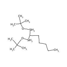 CCCCCC([SiH2]OC(C)(C)C)[SiH2]OC(C)(C)C